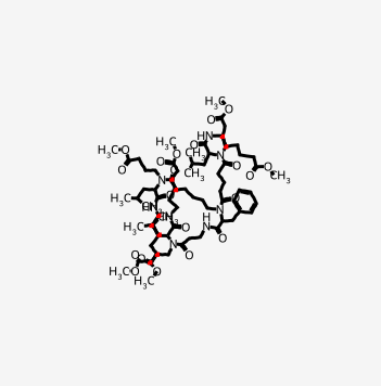 COC(=O)CCCCCNC(=O)C(CC(C)C)N(CCCC(=O)OC)C(=O)CCCCCN(C(=O)CCCC(=O)N(CCCC(=O)OC)C(CC(C)C)C(=O)NCCCCCC(=O)OC)C(Cc1ccccc1)C(=O)NCCC(=O)N(CCCC(=O)OC)C(CC(C)C)C(=O)NCCCCCC(=O)OC